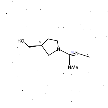 C/N=C(\NC)N1CC[C@H](CO)C1